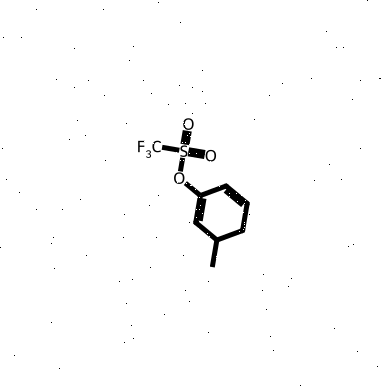 CC1C=C(OS(=O)(=O)C(F)(F)F)C=CC1